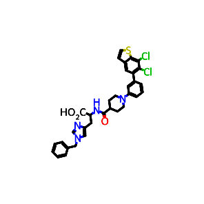 O=C(NC(Cc1cn(Cc2ccccc2)cn1)C(=O)O)C1CCN(c2cccc(-c3cc4ccsc4c(Cl)c3Cl)c2)CC1